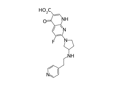 O=C(O)c1c[nH]c2nc(N3CCC(NCCc4ccncc4)C3)c(F)cc2c1=O